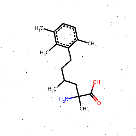 Cc1ccc(C)c(CCC(C)CC(C)(N)C(=O)O)c1C